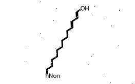 CCCCCCCCCCCCCCCCCCC=CC=CO